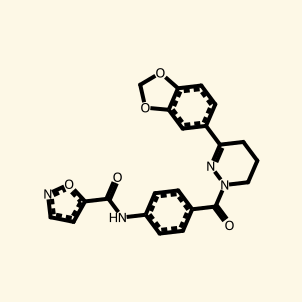 O=C(Nc1ccc(C(=O)N2CCCC(c3ccc4c(c3)OCO4)=N2)cc1)c1ccno1